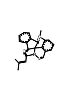 COc1cccc2c1C1(C(=O)c3ccccc3C1=O)N(C(=O)C=C(C)C)N=C2